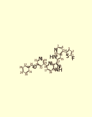 Fc1ccc(-c2ccnc3[nH]c(-c4n[nH]c5ccc(-c6cncc(OCc7ccccc7)c6)nc45)cc23)s1